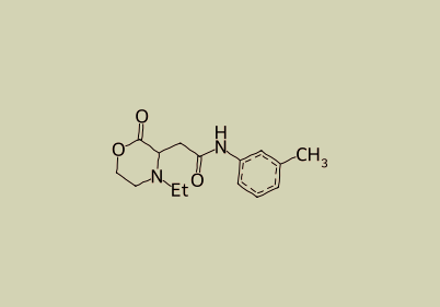 CCN1CCOC(=O)C1CC(=O)Nc1cccc(C)c1